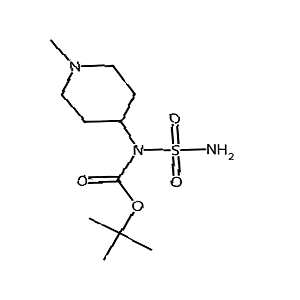 CN1CCC(N(C(=O)OC(C)(C)C)S(N)(=O)=O)CC1